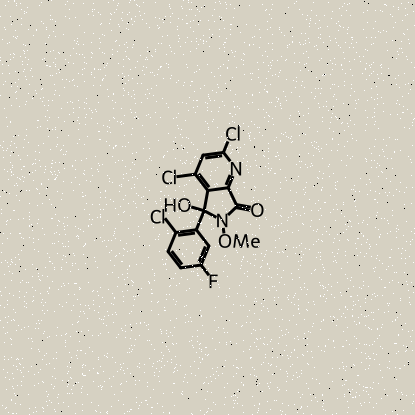 CON1C(=O)c2nc(Cl)cc(Cl)c2C1(O)c1cc(F)ccc1Cl